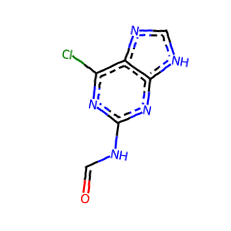 O=CNc1nc(Cl)c2nc[nH]c2n1